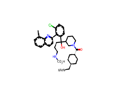 CNC[C@H]1CC[C@H](C(=O)N2CCCC(C(O)(CCCNC(=O)O)c3cccc(Cl)c3-c3ccc4cccc(C)c4n3)C2)CC1